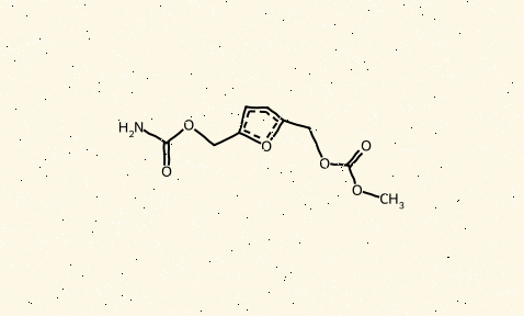 COC(=O)OCc1ccc(COC(N)=O)o1